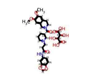 COc1cc2c(cc1OC)CN(C(=O)[C@H]1CCCN(CCC(=O)Nc3ccc4c(c3)OCO4)C1)CC2.O=C(O)C(O)C(O)C(=O)O